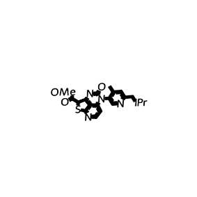 COC(=O)C1Sc2nccc3c2c1nc(=O)n3-c1cnc(CC(C)C)cc1C